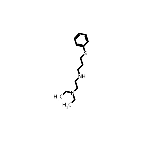 CCN(CC)CCNCCCSc1ccccc1